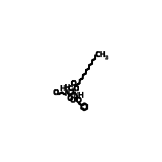 CCCCCCCCCCCCCC(=O)O[C@@H](C)[C@H](NC(=O)OCc1ccccc1)C(=O)NCCC=O